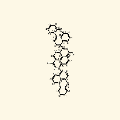 Cc1cc(-c2ccc3c4c(cccc24)-c2ccccc2S3)c2ccc3c(C)cc(-c4ccc5c6c(cccc46)Sc4ccccc4-5)c4ccc1c2c34